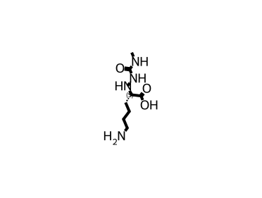 CNC(=O)NN[C@@H](CCCCN)C(=O)O